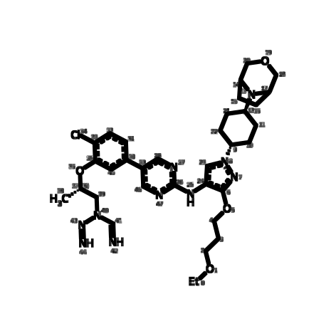 CCOCCCOc1nn([C@H]2CC[C@H](N3C4CCC3COC4)CC2)cc1Nc1ncc(-c2ccc(Cl)c(O[C@@H](C)CN(C=N)N=N)c2)cn1